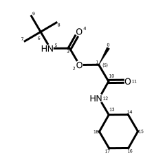 C[C@H](OC(=O)NC(C)(C)C)C(=O)NC1CCCCC1